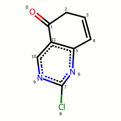 O=C1CC=Cc2nc(Cl)ncc21